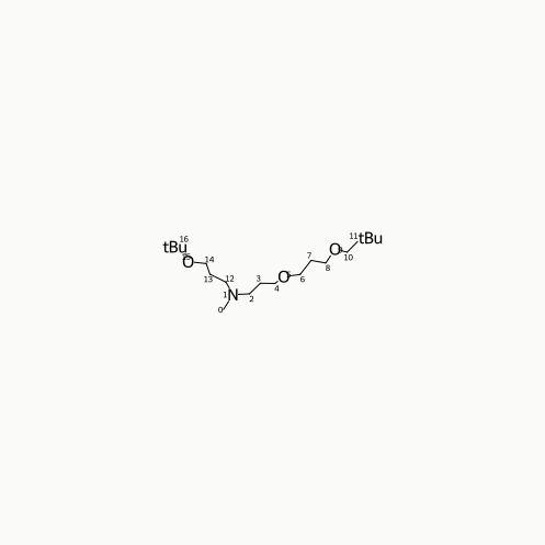 CN(CCCOCCCOCC(C)(C)C)CCCOC(C)(C)C